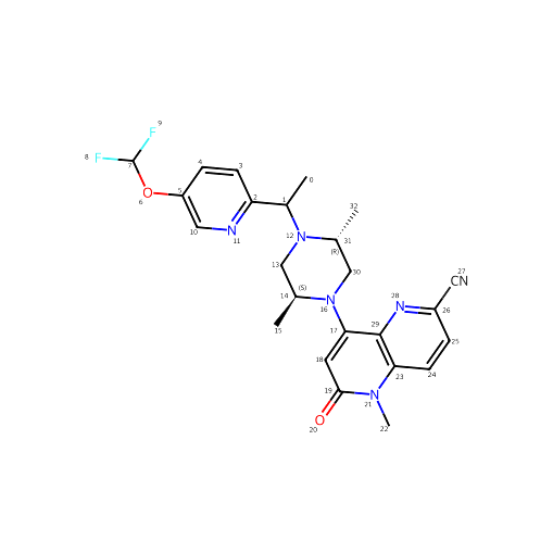 CC(c1ccc(OC(F)F)cn1)N1C[C@H](C)N(c2cc(=O)n(C)c3ccc(C#N)nc23)C[C@H]1C